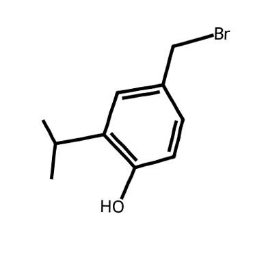 CC(C)c1cc(CBr)ccc1O